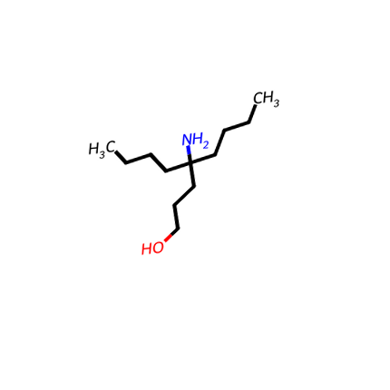 CCCCC(N)(CCCC)CCCO